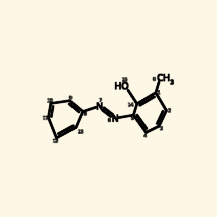 Cc1cccc(N=Nc2ccccc2)c1O